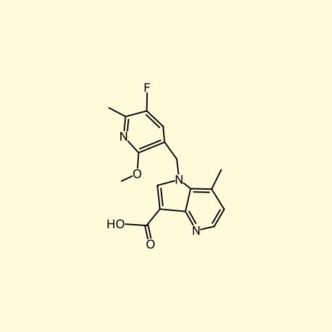 COc1nc(C)c(F)cc1Cn1cc(C(=O)O)c2nccc(C)c21